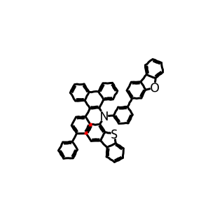 c1ccc(-c2ccc(-c3c(N(c4cccc(-c5ccc6c(c5)oc5ccccc56)c4)c4cccc5c4sc4ccccc45)c4ccccc4c4ccccc34)cc2)cc1